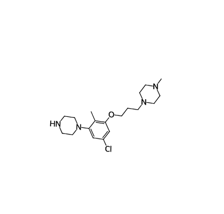 Cc1c(OCCCN2CCN(C)CC2)cc(Cl)cc1N1CCNCC1